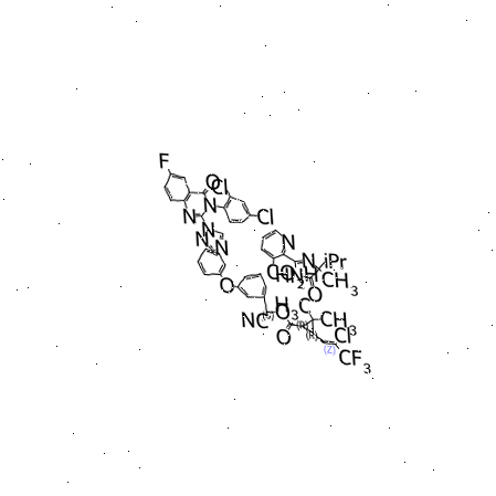 CC(C)C1(C)N=C(c2ncccc2C(=O)O)NC1=O.CC1(C)[C@H](C(=O)O[C@H](C#N)c2cccc(Oc3ccccc3)c2)[C@@H]1/C=C(\Cl)C(F)(F)F.O=c1c2cc(F)ccc2nc(-n2cncn2)n1-c1ccc(Cl)cc1Cl